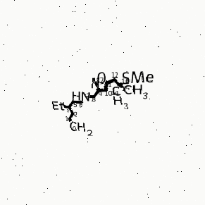 C=CCC(CC)CCNCc1cc(CC(C)(C)SC)on1